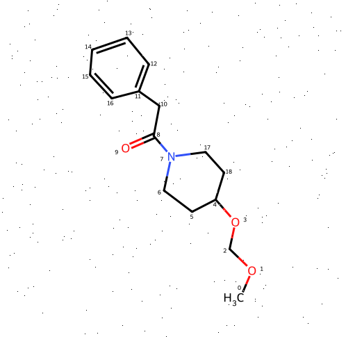 COCOC1CCN(C(=O)[CH]c2ccccc2)CC1